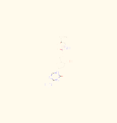 CC(C)COC(=O)[C@H](C)N[PH](=O)OCC1S[C@@H](n2cnc(N)nc2=O)C[C@H]1O